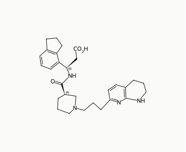 O=C(O)C[C@@H](NC(=O)[C@@H]1CCCN(CCCc2ccc3c(n2)NCCC3)C1)c1cccc2c1CCC2